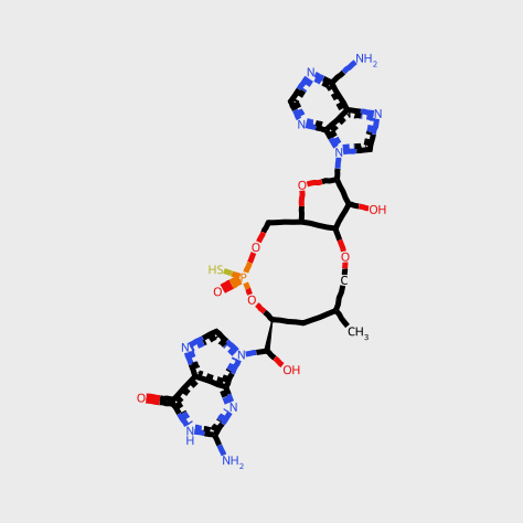 CC1COC2C(COP(=O)(S)O[C@H](C(O)n3cnc4c(=O)[nH]c(N)nc43)C1)OC(n1cnc3c(N)ncnc31)C2O